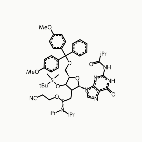 COc1ccc(C(OC[C@H]2O[C@@H](n3cnc4c(=O)[nH]c(NC(=O)C(C)C)nc43)C(CP(OCCC#N)N(C(C)C)C(C)C)C2O[Si](C)(C)C(C)(C)C)(c2ccccc2)c2ccc(OC)cc2)cc1